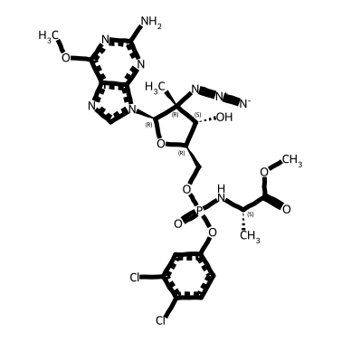 COC(=O)[C@H](C)NP(=O)(OC[C@H]1O[C@@H](n2cnc3c(OC)nc(N)nc32)[C@](C)(N=[N+]=[N-])[C@@H]1O)Oc1ccc(Cl)c(Cl)c1